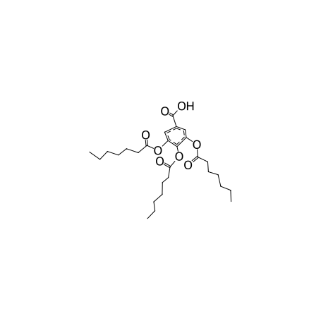 CCCCCCC(=O)Oc1cc(C(=O)O)cc(OC(=O)CCCCCC)c1OC(=O)CCCCCC